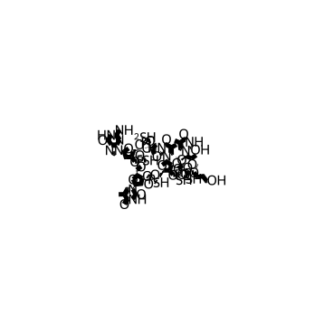 COC(C)[C@@H](OC(OP(=O)(S)OCCCO)OP(=O)(S)OC1C(OC)[C@H](n2cc(C)c(=O)[nH]c2=O)O[C@@H]1COP(=O)(S)OC1C[C@H](n2cc(C)c(=O)[nH]c2=O)O[C@@H]1COP(=O)(S)OC1C[C@H](n2cnc3c(=O)[nH]c(N)nc32)O[C@@H]1COP(=O)(S)OC(C)C)N1C=C(C)C(=O)NC1O